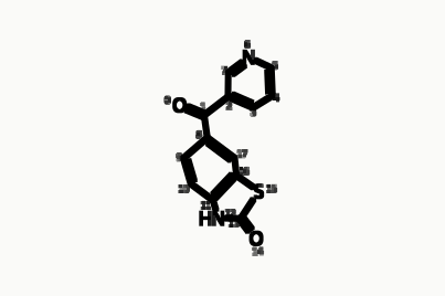 O=C(c1cccnc1)c1ccc2[nH]c(=O)sc2c1